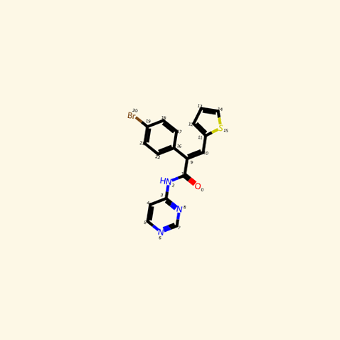 O=C(Nc1ccncn1)C(=Cc1cccs1)c1ccc(Br)cc1